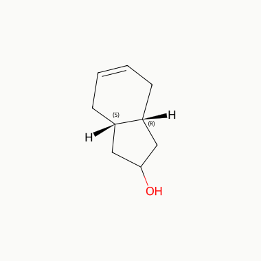 OC1C[C@H]2CC=CC[C@H]2C1